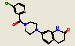 O=C1CCc2ccc(N3CCN(C(=O)c4cccc(Cl)c4)CC3)cc2N1